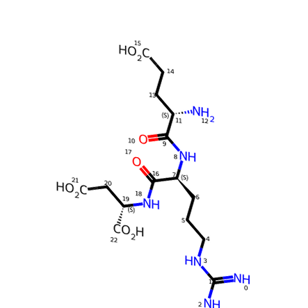 N=C(N)NCCC[C@H](NC(=O)[C@@H](N)CCC(=O)O)C(=O)N[C@@H](CC(=O)O)C(=O)O